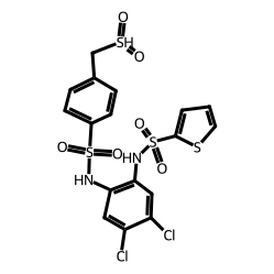 O=[SH](=O)Cc1ccc(S(=O)(=O)Nc2cc(Cl)c(Cl)cc2NS(=O)(=O)c2cccs2)cc1